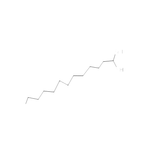 CCCCCCCCCCCCC([SiH3])S